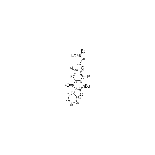 CCCCC1=C(C(=O)c2cc(I)c(OCCN(CC)CC)c(I)c2)C2CC=CC=C2O1